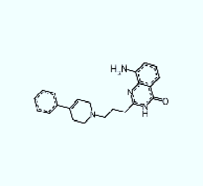 Nc1cccc2c(=O)[nH]c(CCCN3CC=C(c4ccccc4)CC3)nc12